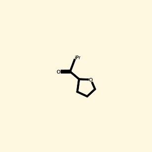 CC(C)C(=O)C1CCCO1